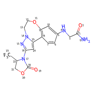 NC(=O)CNc1ccc2c(c1)OCCn1nc(N3C(=O)OCC3C(F)(F)F)cc1-2